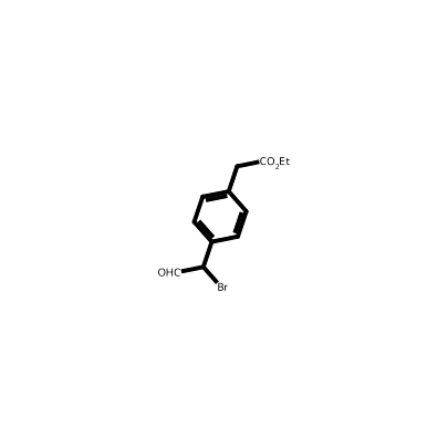 CCOC(=O)Cc1ccc(C(Br)C=O)cc1